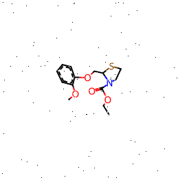 CCOC(=O)N1CCSC1COc1ccccc1OC